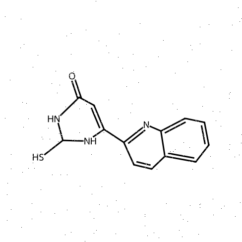 O=C1C=C(c2ccc3ccccc3n2)NC(S)N1